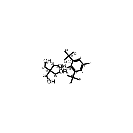 Cc1cc(C(C)(C)C)c(O)c(C(C)(C)C)c1.OCC(CO)(CO)CO